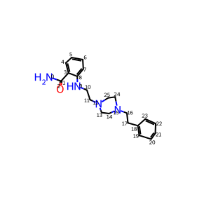 NC(=O)c1ccccc1NCCN1CCN(CCc2ccccc2)CC1